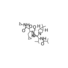 CC(C)C(=O)N[C@H](C(=O)N1C[C@H]2[C@@H]([C@H]1C(=O)NC(CC1CC1)C(=O)C(=O)NC1CC1)C2(C)C)C(C)C